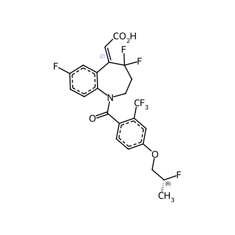 C[C@@H](F)COc1ccc(C(=O)N2CCC(F)(F)/C(=C\C(=O)O)c3cc(F)ccc32)c(C(F)(F)F)c1